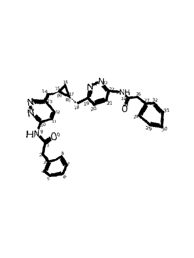 O=C(Cc1ccccc1)Nc1ccc(C[C@H]2C[C@@H]2Cc2ccc(NC(=O)Cc3ccccc3)nn2)nn1